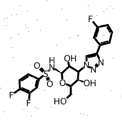 O=S(=O)(N[C@@H]1OC(CO)[C@H](O)C(n2cc(-c3cccc(F)c3)nn2)C1O)c1ccc(F)c(F)c1